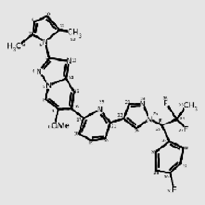 COc1cn2nc(-n3c(C)ccc3C)nc2cc1-c1cccc(-c2cnn([C@H](c3ccc(F)cc3)C(C)(F)F)c2)n1